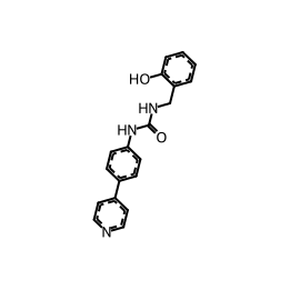 O=C(NCc1ccccc1O)Nc1ccc(-c2ccncc2)cc1